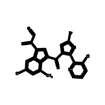 Cc1cc(Cl)cc2c(C(=O)C=O)cn(C(=O)c3cc(Br)nn3-c3ncccc3Cl)c12